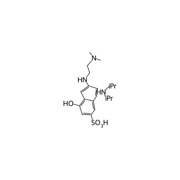 CC(C)NC(C)C.CN(C)CCNc1ccc2cc(S(=O)(=O)O)cc(O)c2c1